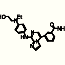 CCN(CCO)c1ccc(Nc2ncc(-c3cccc(C(N)=O)c3)n3ccnc23)cc1